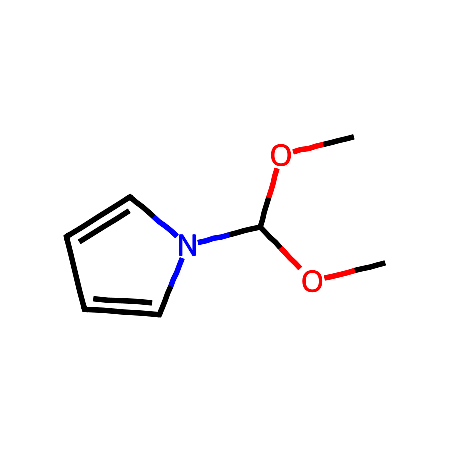 COC(OC)n1cccc1